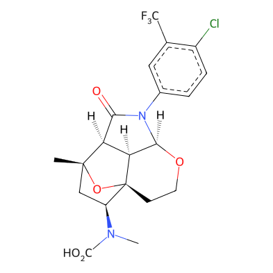 CN(C(=O)O)[C@H]1C[C@@]2(C)O[C@@]13CCO[C@H]1[C@@H]3[C@@H]2C(=O)N1c1ccc(Cl)c(C(F)(F)F)c1